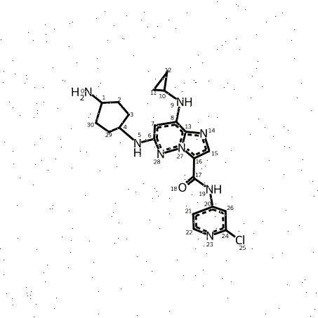 NC1CCC(Nc2cc(NC3CC3)c3ncc(C(=O)Nc4ccnc(Cl)c4)n3n2)CC1